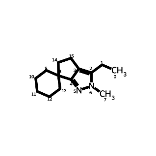 CCc1c2c(nn1C)C1(CCCCC1)CC2